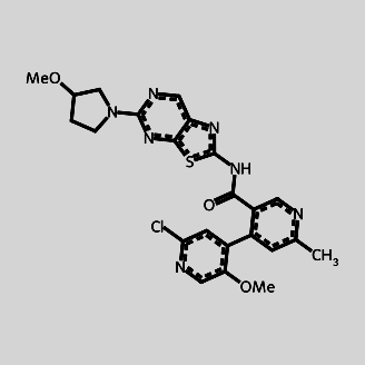 COc1cnc(Cl)cc1-c1cc(C)ncc1C(=O)Nc1nc2cnc(N3CCC(OC)C3)nc2s1